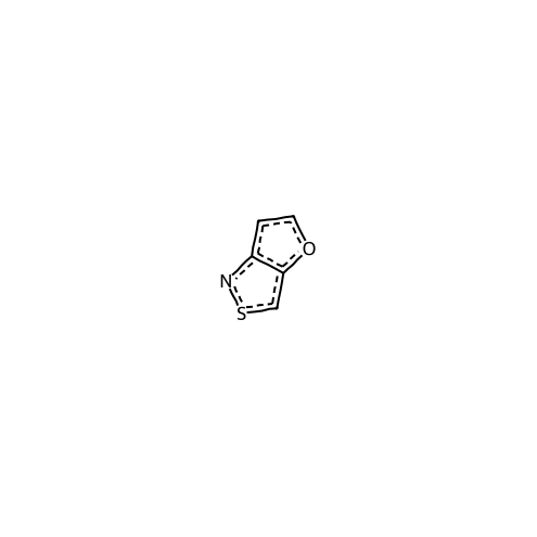 c1cc2nscc2o1